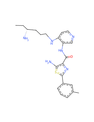 CC[C@@H](N)CCCNc1ccncc1NC(=O)c1nc(-c2cccc(C)c2)sc1N